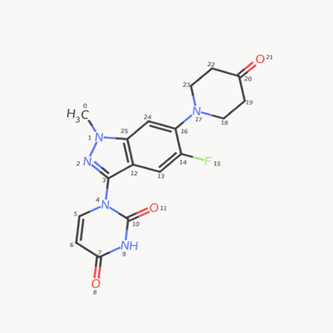 Cn1nc(-n2ccc(=O)[nH]c2=O)c2cc(F)c(N3CCC(=O)CC3)cc21